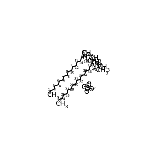 CCCCCCCCCCCCCCCC[N+](C)(CC)CC.CCCCCCCCCCCCCCCC[N+](C)(CC)CC.O=S(=O)([O-])[O-]